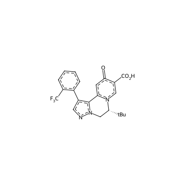 CC(C)(C)[C@@H]1Cn2ncc(-c3ccccc3C(F)(F)F)c2-c2cc(=O)c(C(=O)O)cn21